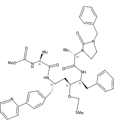 COC(=O)N[C@H](C(=O)N[C@@H](Cc1ccc(-c2ccccn2)cc1)C[C@H](OCSC)[C@H](Cc1ccccc1)NC(=O)[C@@H](N1CCN(Cc2ccccc2)C1=O)C(C)(C)C)C(C)(C)C